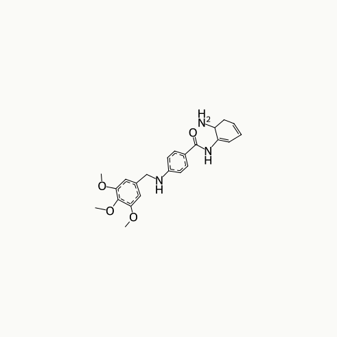 COc1cc(CNc2ccc(C(=O)NC3=CC=CCC3N)cc2)cc(OC)c1OC